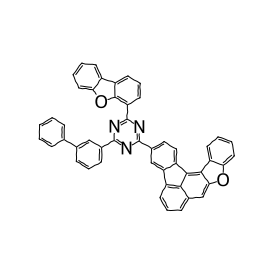 c1ccc(-c2cccc(-c3nc(-c4ccc5c(c4)-c4cccc6cc7oc8ccccc8c7c-5c46)nc(-c4cccc5c4oc4ccccc45)n3)c2)cc1